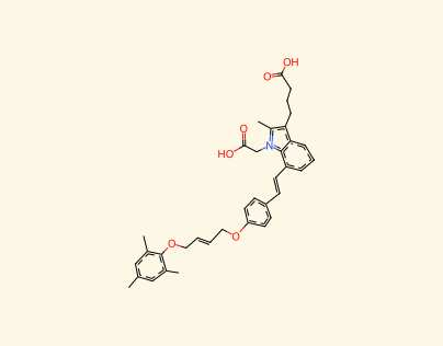 Cc1cc(C)c(OCC=CCOc2ccc(C=Cc3cccc4c(CCCC(=O)O)c(C)n(CC(=O)O)c34)cc2)c(C)c1